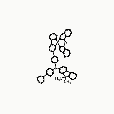 CC1(C)c2ccccc2-c2ccc(N(c3ccc(-c4ccccc4)cc3)c3ccc(-c4ccc5c(c4)C4(c6ccccc6-5)c5ccc6ccccc6c5Oc5c4ccc4ccccc54)cc3)cc21